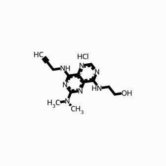 C#CCNc1nc(N(C)C)nc2c(NCCO)ncnc12.Cl